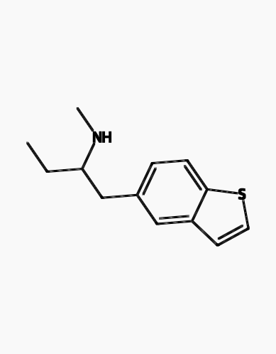 CCC(Cc1ccc2sccc2c1)NC